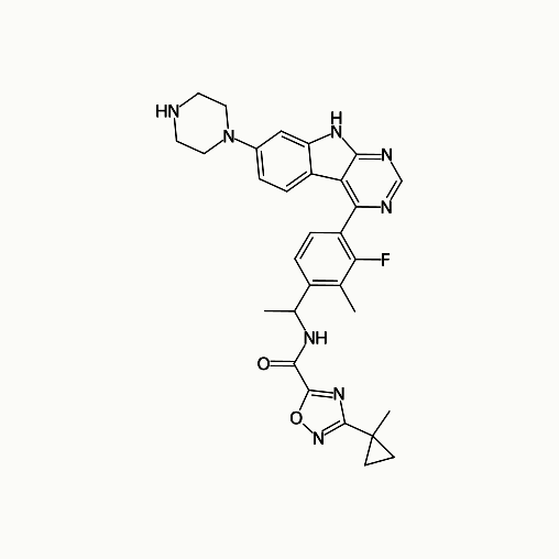 Cc1c(C(C)NC(=O)c2nc(C3(C)CC3)no2)ccc(-c2ncnc3[nH]c4cc(N5CCNCC5)ccc4c23)c1F